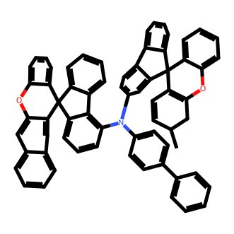 CC1C=CC2=C(C1)Oc1ccccc1C21c2ccccc2-c2ccc(N(c3ccc(-c4ccccc4)cc3)c3cccc4c3-c3ccccc3C43c4ccccc4Oc4cc5ccccc5cc43)cc21